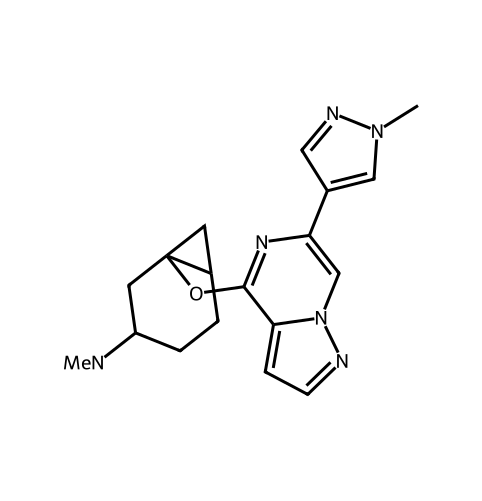 CNC1CCC2CC2(Oc2nc(-c3cnn(C)c3)cn3nccc23)C1